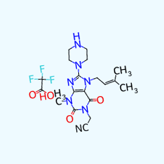 CC(C)=CCn1c(N2CCNCC2)nc2c1c(=O)n(CC#N)c(=O)n2C.O=C(O)C(F)(F)F